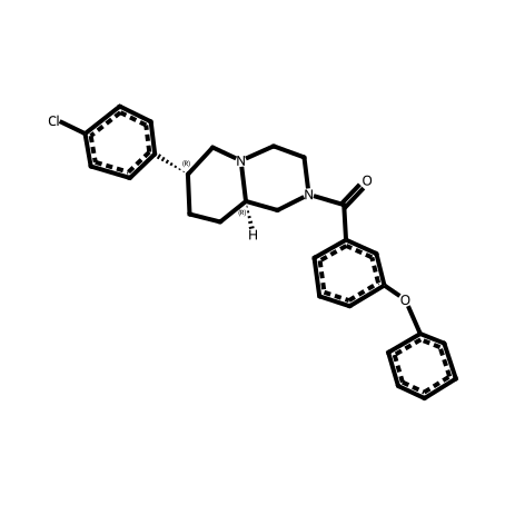 O=C(c1cccc(Oc2ccccc2)c1)N1CCN2C[C@@H](c3ccc(Cl)cc3)CC[C@@H]2C1